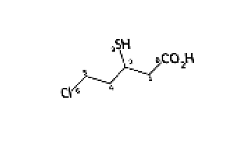 O=C(O)CC(S)CCCl